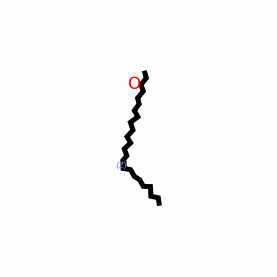 CCCCCCCC/C=C\CCCCCCCCCCCC(=O)CC